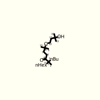 CCCCCCC(C)(CCCC)C(=O)CCC(C)(C)OCCC(C)(C)O